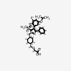 CC(C)Oc1cc(F)c(F)c(-c2c(-c3ccccc3)nn(C[C@H]3CC[C@@H](COCC(=O)O)CC3)c2S(C)(=O)=O)c1